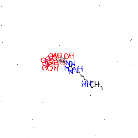 CNCCCCCCNc1ncnc2c1ncn2[C@@H]1O[C@H](COP(=O)(O)OP(=O)(O)OP(=O)(O)O)C(O)C1O